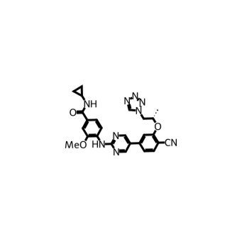 COc1cc(C(=O)NC2CC2)ccc1Nc1ncc(-c2ccc(C#N)c(O[C@@H](C)Cn3cnnn3)c2)cn1